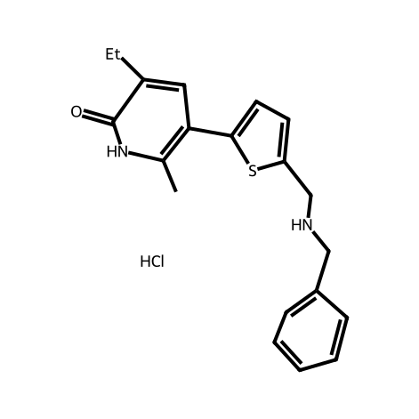 CCc1cc(-c2ccc(CNCc3ccccc3)s2)c(C)[nH]c1=O.Cl